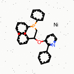 [Ni].c1ccc(-c2ncccc2OC(CP(c2ccccc2)c2ccccc2)c2ccccc2)cc1